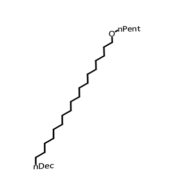 CCCCCCCCCCCCCCCCCCCCCCCCCCCCOCCCCC